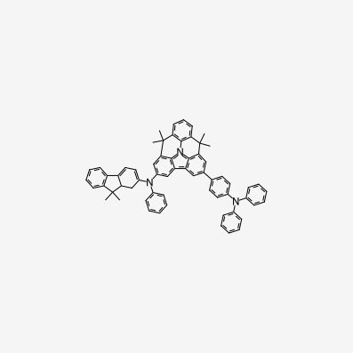 CC1(C)c2cccc3c2-n2c4c1cc(-c1ccc(N(c5ccccc5)c5ccccc5)cc1)cc4c1cc(N(C4=CC=C5c6ccccc6C(C)(C)C5C4)c4ccccc4)cc(c12)C3(C)C